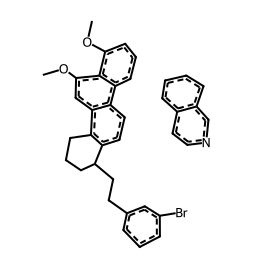 COc1cccc2c1c(OC)cc1c3c(ccc12)C(CCc1cccc(Br)c1)CCC3.c1ccc2cnccc2c1